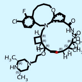 C[C@@H]1[C@@H](C)S(=O)(=O)NC(=O)c2ccc3c(c2)N(Cc2ccc(Cl)c(F)c2CCCCO3)C[C@@H]2CC[C@H]2[C@@H](OCCN2C[C@@H](C)N[C@@H](C)C2)C2=C[C@H]1C2